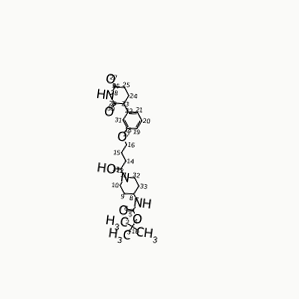 CC(C)(C)OC(=O)NC1CCN(C(O)CCCOc2cccc(C3CCC(=O)NC3=O)c2)CC1